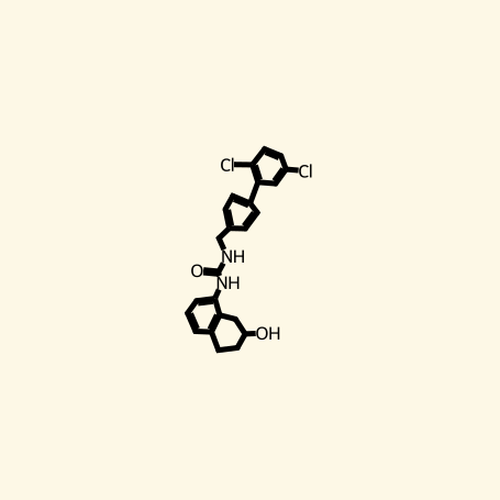 O=C(NCc1ccc(-c2cc(Cl)ccc2Cl)cc1)Nc1cccc2c1CC(O)CC2